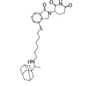 CC(NCCCCCCSc1cccc2c1CN(C1CCC(=O)NC1=O)C2=O)C12CC3CC(CC(C3)C1)C2